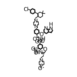 CC1(C)CCC(CN2CCN(c3ccc(C(=O)NS(=O)(=O)c4cc5c(c([N+](=O)[O-])c4)N[C@H](CCN4CCP(C)(=O)CC4)CO5)c(Oc4cnc5[nH]ccc5c4)c3)CC2)=C(c2ccc(Cl)cc2)C1